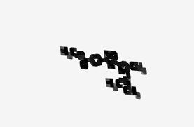 CCOC(=O)c1ccc(-c2noc(-c3cc(C)c(CN(CC)CC)s3)n2)cc1